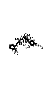 CCOc1ccccc1CCC(=O)Nc1nc(C)c(C(=O)Nc2c(C)cc(C)cc2C)s1